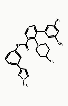 Cc1cc(C)cc(-c2cncc(C(=O)Nc3cccc(-c4ccn(C)n4)c3)c2N2CCC(N)CC2)c1